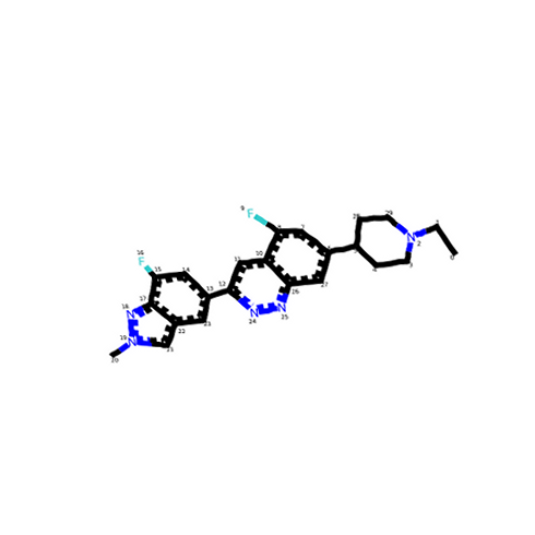 CCN1CCC(c2cc(F)c3cc(-c4cc(F)c5nn(C)cc5c4)nnc3c2)CC1